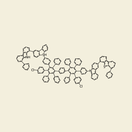 Clc1ccc(-c2c(-c3ccccc3)c(-c3ccc(-c4c(-c5ccccc5)c(-c5ccccc5)c(-c5ccc(Cl)cc5)c(-c5ccc([SH]6c7ccccc7-c7cc(-c8cccc9c8[nH]c8c(-c%10ccccc%10)cccc89)ccc76)cc5)c4-c4ccccc4)cc3)c(-c3ccccc3)c(-c3ccccc3)c2-c2ccc(-n3c4ccccc4c4cc(-c5cccc6c5sc5c(-c7ccccc7)cccc56)ccc43)cc2)cc1